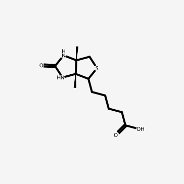 C[C@@]12CSC(CCCCC(=O)O)[C@]1(C)NC(=O)N2